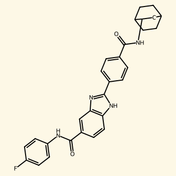 O=C(Nc1ccc(F)cc1)c1ccc2[nH]c(-c3ccc(C(=O)NC4CC5CCC4CC5)cc3)nc2c1